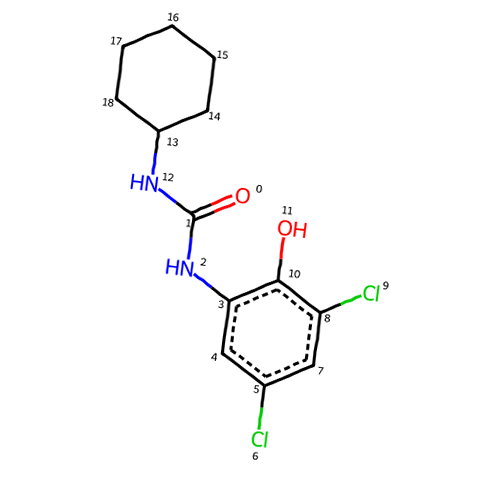 O=C(Nc1cc(Cl)cc(Cl)c1O)NC1CCCCC1